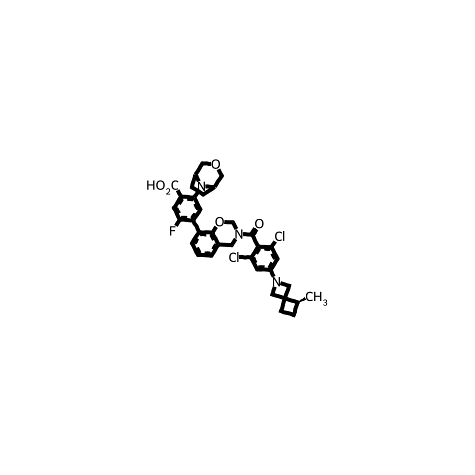 C[C@H]1CCC12CN(c1cc(Cl)c(C(=O)N3COc4c(cccc4-c4cc(N5C6CCC5COC6)c(C(=O)O)cc4F)C3)c(Cl)c1)C2